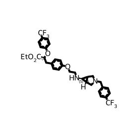 CCOC(=O)[C@H](Cc1ccc(OCCN[C@H]2C3CN(Cc4ccc(C(F)(F)F)cc4)C[C@@H]32)cc1)Oc1ccc(C(F)(F)F)cc1